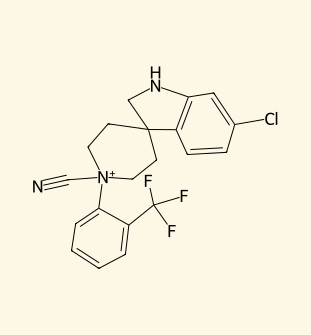 N#C[N+]1(c2ccccc2C(F)(F)F)CCC2(CC1)CNc1cc(Cl)ccc12